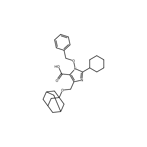 O=C(O)c1c(COC23CC4CC(CC(C4)C2)C3)nc(C2CCCCC2)n1OCc1ccccc1